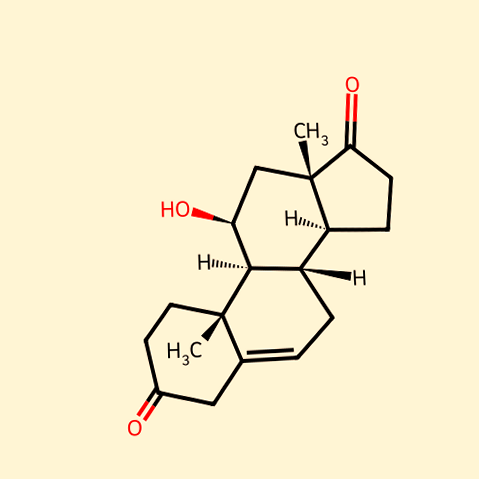 C[C@]12CCC(=O)CC1=CC[C@@H]1[C@@H]2[C@@H](O)C[C@]2(C)C(=O)CC[C@@H]12